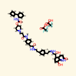 C[C@@H](Cc1ccc(CCNC(=O)Cc2ccc(N(C)C(=O)CCN3CCC(OC(=O)Nc4ccccc4-c4ccccc4)CC3)cc2)cc1)NC[C@H](O)c1ccc(O)c2[nH]c(=O)ccc12.O=C(O)C(F)(F)F.O=C(O)C(F)(F)F